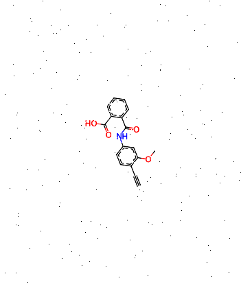 C#Cc1ccc(NC(=O)c2ccccc2C(=O)O)cc1OC